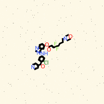 O=C(C=CC(F)(F)CCCCN1CCOCC1)Oc1ccc2ncnc(Nc3ccc(C(=O)c4ccncc4)c(Cl)c3)c2c1